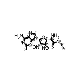 Cc1nc(N)c2ncn([C@@H]3O[C@H](C(N)C(=S)N=[N+]=[N-])C(N=O)[C@@H]3N=O)c2n1